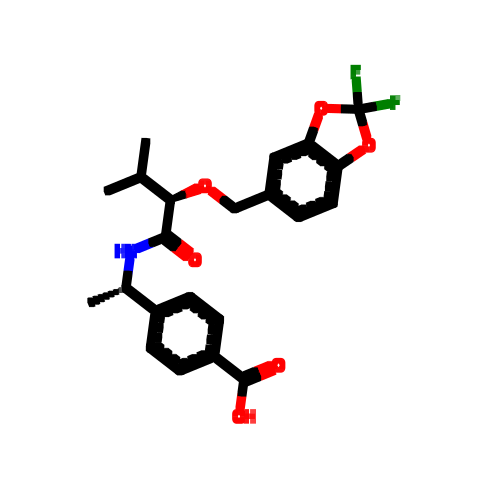 CC(C)[C@@H](OCc1ccc2c(c1)OC(F)(F)O2)C(=O)N[C@@H](C)c1ccc(C(=O)O)cc1